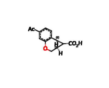 CC(=O)c1ccc2c(c1)OC[C@@H]1C(C(=O)O)[C@H]21